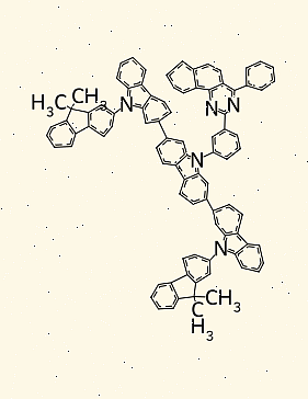 CC1(C)c2ccccc2-c2ccc(-n3c4ccccc4c4ccc(-c5ccc6c7ccc(-c8ccc9c%10ccccc%10n(-c%10ccc%11c(c%10)C(C)(C)c%10ccccc%10-%11)c9c8)cc7n(-c7cccc(-c8nc(-c9ccccc9)c9ccc%10ccccc%10c9n8)c7)c6c5)cc43)cc21